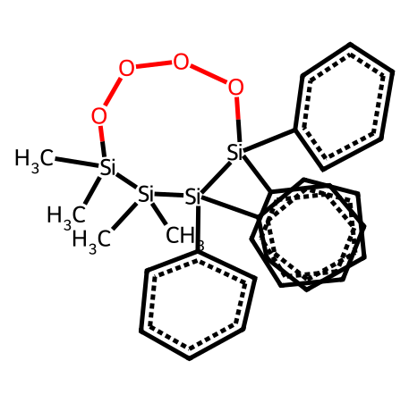 C[Si]1(C)OOOO[Si](c2ccccc2)(c2ccccc2)[Si](c2ccccc2)(c2ccccc2)[Si]1(C)C